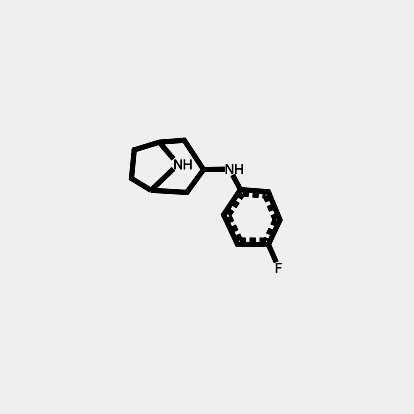 Fc1ccc(NC2CC3CCC(C2)N3)cc1